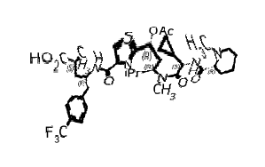 CC(=O)O[C@H](C[C@H](C(C)C)N(C)C(=O)[C@@H](NC(=O)[C@H]1CCCCN1C)C1CC1)c1nc(C(=O)N[C@@H](Cc2ccc(C(F)(F)F)cc2)C[C@H](C)C(=O)O)cs1